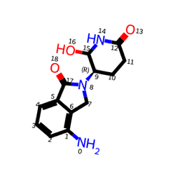 Nc1cccc2c1CN([C@@H]1CCC(=O)NC1O)C2=O